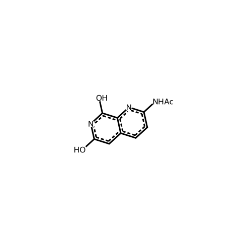 CC(=O)Nc1ccc2cc(O)nc(O)c2n1